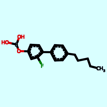 CCCCCc1ccc(-c2ccc(OB(O)O)cc2F)cc1